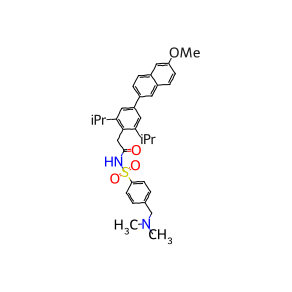 COc1ccc2cc(-c3cc(C(C)C)c(CC(=O)NS(=O)(=O)c4ccc(CN(C)C)cc4)c(C(C)C)c3)ccc2c1